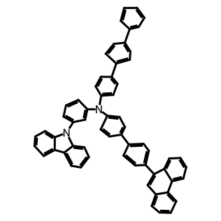 c1ccc(-c2ccc(-c3ccc(N(c4ccc(-c5ccc(-c6cc7ccccc7c7ccccc67)cc5)cc4)c4cccc(-n5c6ccccc6c6ccccc65)c4)cc3)cc2)cc1